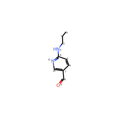 CCCNc1ccc(C=O)cn1